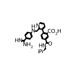 CC(C)CNC(=O)c1ccc(-c2cccnc2CNc2ccc(C(=N)N)cc2)c(C(=O)O)c1